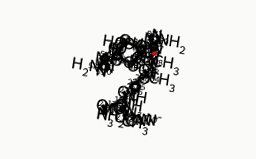 CC(C)[C@H](NC(=O)CN=[N+]=[N-])C(=O)N[C@@H](CCCNC(N)=O)C(=O)Nc1ccc(COC(=O)N(C)CCN(C)C(=O)O[C@@H]2[C@@H]3OP(=O)(S)OCC4O[C@@H](n5cnc6c(N)ncnc65)[C@H](F)[C@@H]4O[P@](=O)(O)OC[C@H]3O[C@H]2n2cnc3c(N)ncnc32)cc1